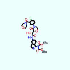 CC(C)(C)OC(=O)N(C(=O)OC(C)(C)C)c1nccc2cc(NC(=O)[C@H](O)[C@H]3OCCN(c4ccc(F)c(C(=O)N5CCOCC5)c4)C3=O)ccc12